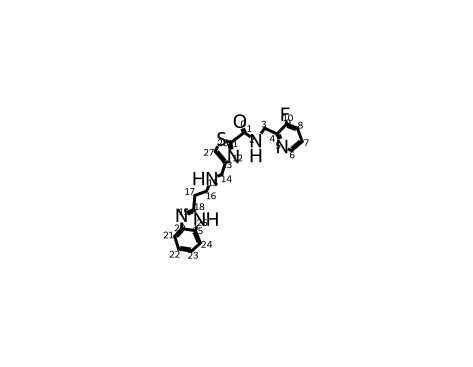 O=C(NCc1ncccc1F)c1nc(CNCCc2nc3ccccc3[nH]2)cs1